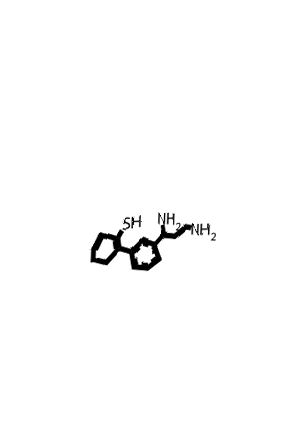 NCCC(N)c1cccc(C2=C(S)C=CCC2)c1